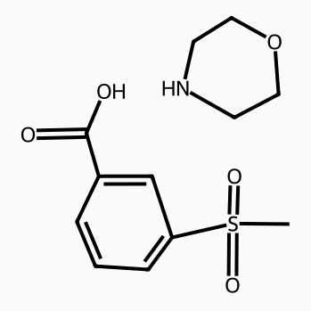 C1COCCN1.CS(=O)(=O)c1cccc(C(=O)O)c1